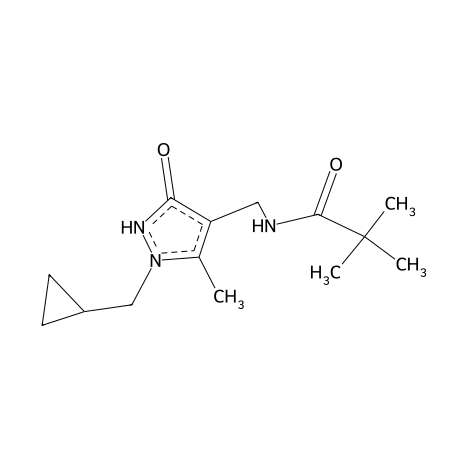 Cc1c(CNC(=O)C(C)(C)C)c(=O)[nH]n1CC1CC1